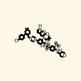 CC1(C)CCC(CN2CCN(c3ccc(C(=O)NS(=O)(=O)c4ccc(NCC5CCOCC5)c([N+](=O)[O-])c4)c(N4CC(C)(C)COc5nc6[nH]ccc6cc54)c3)CC2)=C(c2ccc(Cl)cc2)C1